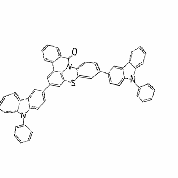 O=c1c2ccccc2c2cc(-c3ccc4c(c3)c3ccccc3n4-c3ccccc3)cc3c2n1-c1ccc(-c2ccc4c(c2)c2ccccc2n4-c2ccccc2)cc1S3